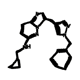 c1ccc(Cn2cc(-c3cnc4ccc(NCC5CC5)nn34)cn2)cc1